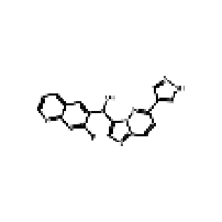 OC(c1cc2cccnc2cc1F)c1cnc2ccc(-c3cn[nH]c3)nn12